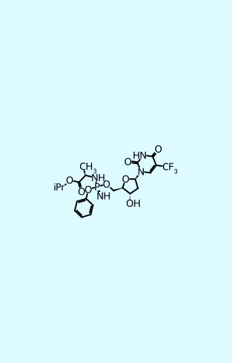 CC(C)OC(=O)[C@@H](C)NP(=N)(OC[C@H]1O[C@@H](n2cc(C(F)(F)F)c(=O)[nH]c2=O)C[C@@H]1O)Oc1ccccc1